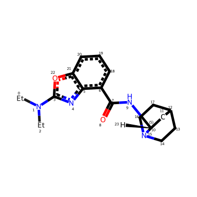 CCN(CC)c1nc2c(C(=O)N[C@@H]3CC4CCN3CC4)cccc2o1